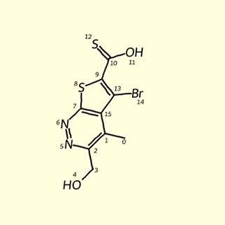 Cc1c(CO)nnc2sc(C(O)=S)c(Br)c12